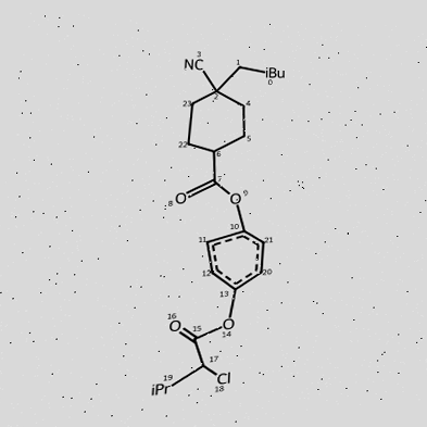 CCC(C)CC1(C#N)CCC(C(=O)Oc2ccc(OC(=O)C(Cl)C(C)C)cc2)CC1